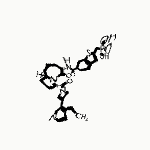 CCc1ccncc1C1CN(C(=O)[C@@H]2CC[C@@H]3CCC[C@H](NC(=O)c4ccc5cc(CP(=O)(O)O)sc5c4)C(=O)N32)C1